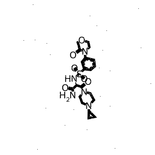 NC(=O)[C@H](NS(=O)(=O)c1cccc(N2CCOCC2=O)c1)C(=O)N1CCN(C2CC2)CC1